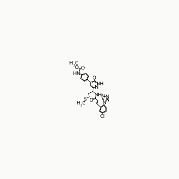 COC(=O)Nc1ccc(-c2cc(C(CCSC)NC(=O)/C=C/c3cc(Cl)ccc3-n3cnnn3)n[nH]c2=O)cc1